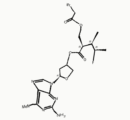 CNc1nc(N)nc2c1ncn2[C@H]1CC(OC(=O)[C@@H](COC(=O)CC(C)C)[C@@H](C)[C@@H](C)F)CO1